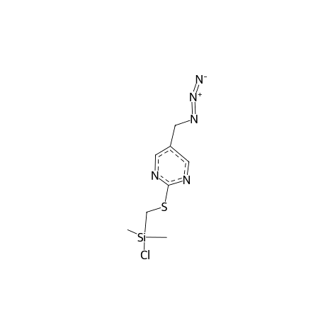 C[Si](C)(Cl)CSc1ncc(CN=[N+]=[N-])cn1